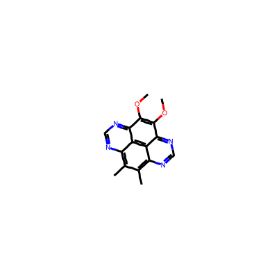 COc1c(OC)c2ncnc3c(C)c(C)c4ncnc1c4c32